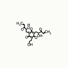 C=CC(=O)C(O)Cn1c(=O)n(CCO)c(=O)n(CC(O)C(=O)C=C)c1=O